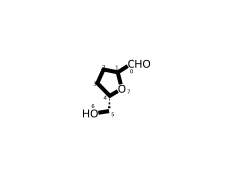 O=CC1CC[C@@H](CO)O1